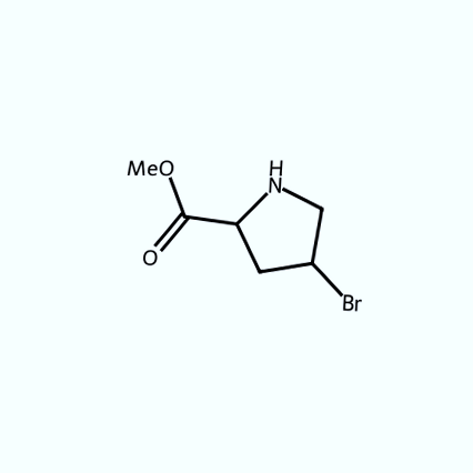 COC(=O)C1CC(Br)CN1